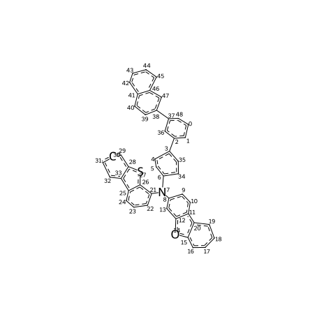 c1cc(-c2ccc(N(c3ccc4c(c3)oc3ccccc34)c3cccc4c3sc3ccccc34)cc2)cc(-c2ccc3ccccc3c2)c1